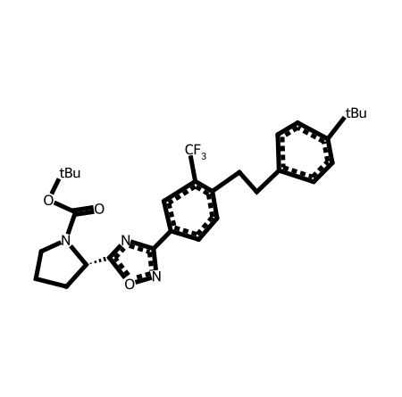 CC(C)(C)OC(=O)N1CCC[C@H]1c1nc(-c2ccc(CCc3ccc(C(C)(C)C)cc3)c(C(F)(F)F)c2)no1